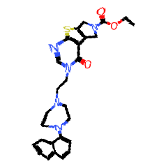 CCOC(=O)N1Cc2sc3ncn(CCN4CCN(c5cccc6ccccc56)CC4)c(=O)c3c2C1